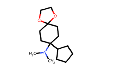 CN(C)C1(C2CCCC2)CCC2(CC1)OCCO2